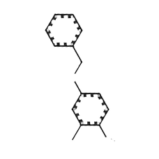 Cc1cc(SCc2ccccc2)ccc1C#N